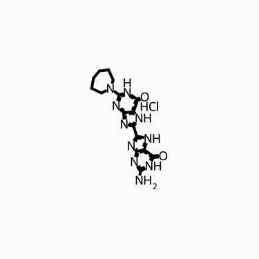 Cl.Nc1nc2nc(-c3nc4nc(N5CCCCCC5)[nH]c(=O)c4[nH]3)[nH]c2c(=O)[nH]1